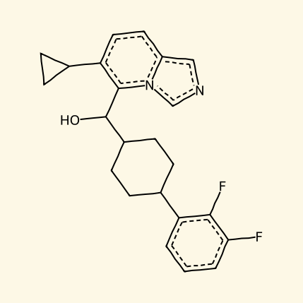 OC(c1c(C2CC2)ccc2cncn12)C1CCC(c2cccc(F)c2F)CC1